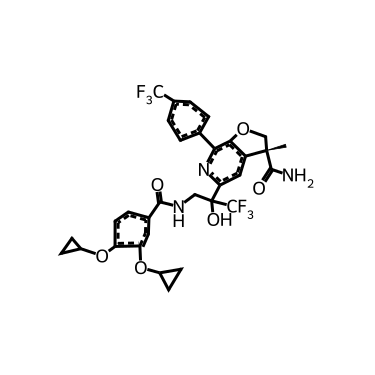 C[C@]1(C(N)=O)COc2c1cc(C(O)(CNC(=O)c1ccc(OC3CC3)c(OC3CC3)c1)C(F)(F)F)nc2-c1ccc(C(F)(F)F)cc1